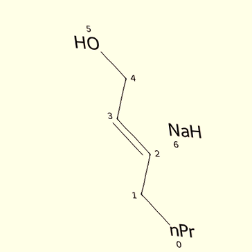 CCCCC=CCO.[NaH]